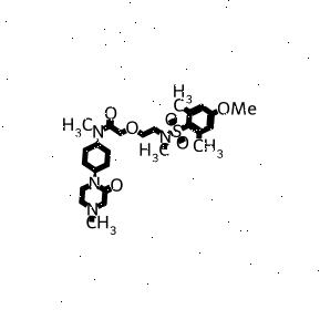 COc1cc(C)c(S(=O)(=O)N(C)CCOCC(=O)N(C)[C@H]2CC[C@H](N3CCN(C)CC3=O)CC2)c(C)c1